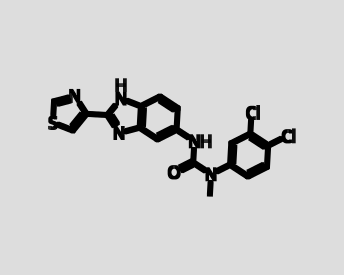 CN(C(=O)Nc1ccc2[nH]c(-c3cscn3)nc2c1)c1ccc(Cl)c(Cl)c1